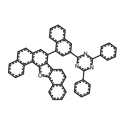 c1ccc(-c2nc(-c3ccccc3)nc(-c3cc(-c4cc5ccc6ccccc6c5c5oc6c7ccccc7ccc6c45)c4ccccc4c3)n2)cc1